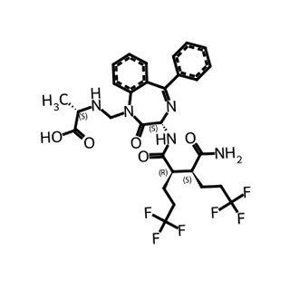 C[C@H](NCN1C(=O)[C@@H](NC(=O)[C@H](CCC(F)(F)F)[C@H](CCC(F)(F)F)C(N)=O)N=C(c2ccccc2)c2ccccc21)C(=O)O